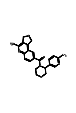 Cc1ccc(C2COCCN2C(=O)c2ccc3nc(N)c4c(c3c2)COC4)cn1